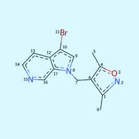 Cc1noc(C)c1Cn1cc(Br)c2ccncc21